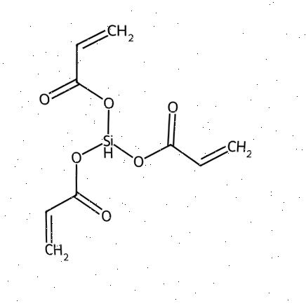 C=CC(=O)O[SiH](OC(=O)C=C)OC(=O)C=C